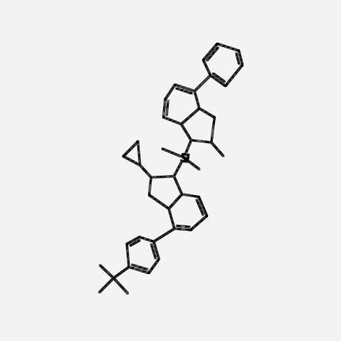 CC1CC2C(c3ccccc3)=CC=CC2C1[Si](C)(C)C1C2C=CC=C(c3ccc(C(C)(C)C)cc3)C2CC1C1CC1